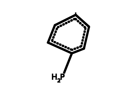 Pc1cc[c]cc1